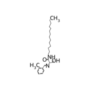 CCCCCCCCCCCCCCNC(=O)C(CO)N=Cc1ccccc1C